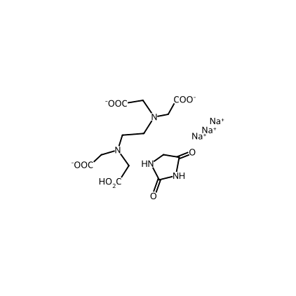 O=C([O-])CN(CCN(CC(=O)[O-])CC(=O)O)CC(=O)[O-].O=C1CNC(=O)N1.[Na+].[Na+].[Na+]